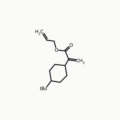 C=CCOC(=O)C(=C)C1CCC(C(C)(C)C)CC1